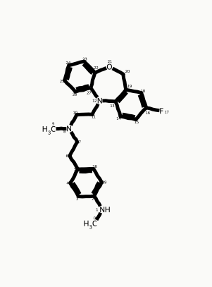 CNc1ccc(CCN(C)CCN2c3ccc(F)cc3COc3ccccc32)cc1